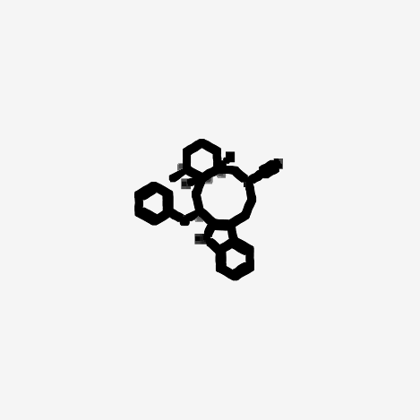 C[C@H]1CCC[C@H]2CN(C#N)CCc3c([nH]c4ccccc34)[C@@H](Oc3ccccc3)C[C@@H]21